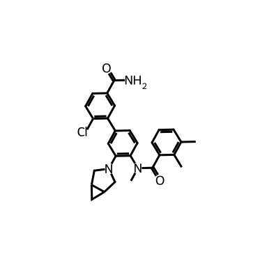 Cc1cccc(C(=O)N(C)c2ccc(-c3cc(C(N)=O)ccc3Cl)cc2N2CC3CC3C2)c1C